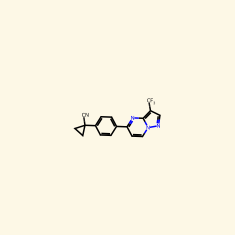 N#CC1(c2ccc(-c3ccn4ncc(C(F)(F)F)c4n3)cc2)CC1